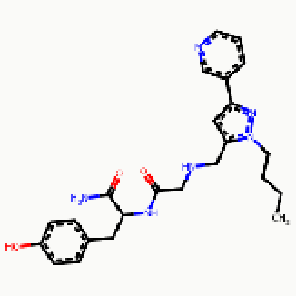 CCCCn1nc(-c2cccnc2)cc1CNCC(=O)NC(Cc1ccc(O)cc1)C(N)=O